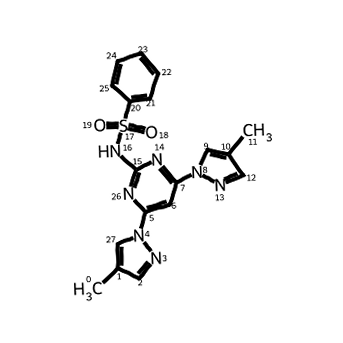 Cc1cnn(-c2cc(-n3cc(C)cn3)nc(NS(=O)(=O)c3ccccc3)n2)c1